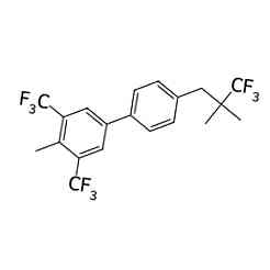 Cc1c(C(F)(F)F)cc(-c2ccc(CC(C)(C)C(F)(F)F)cc2)cc1C(F)(F)F